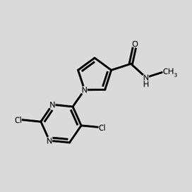 CNC(=O)c1ccn(-c2nc(Cl)ncc2Cl)c1